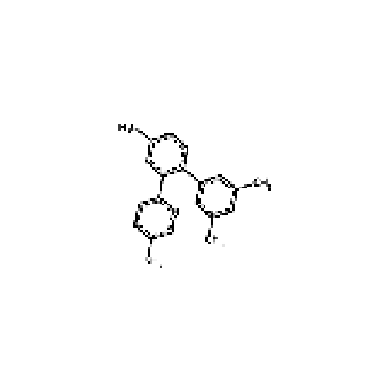 Cc1cc(C)cc(-c2ccc(C)cc2-c2ccc(N)cn2)c1